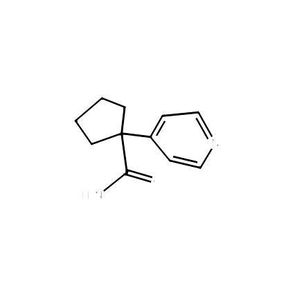 NC(=O)C1(c2ccncc2)CCCC1